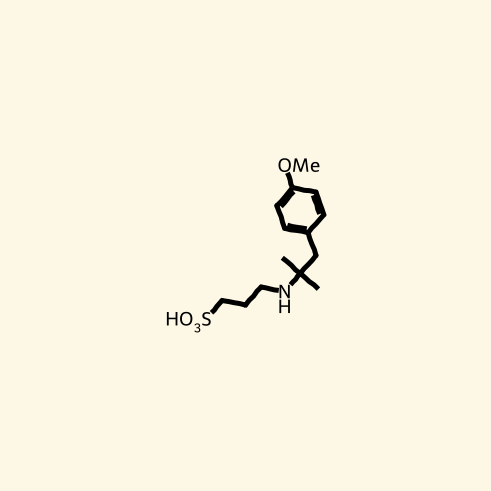 COc1ccc(CC(C)(C)NCCCS(=O)(=O)O)cc1